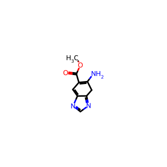 COC(=O)C1=C(N)CC2=NC=NC2=C1